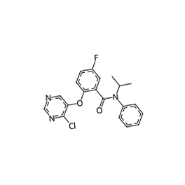 CC(C)N(C(=O)c1cc(F)ccc1Oc1cncnc1Cl)c1ccccc1